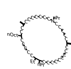 C=C1CCCCCCCCCC(CCC)C(CC)CCCCCC(CCCCCCCC)CCC(=C)CCCCCCCN(CCC)CCCCC1